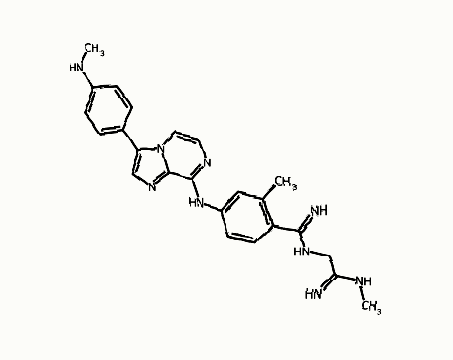 CNC(=N)CNC(=N)c1ccc(Nc2nccn3c(-c4ccc(NC)cc4)cnc23)cc1C